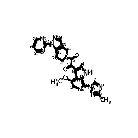 COc1cnc(-n2cnc(C)n2)c2c1C(C(=O)C(=O)N1CCc3c(cnn3-c3ncccn3)C1)CN2